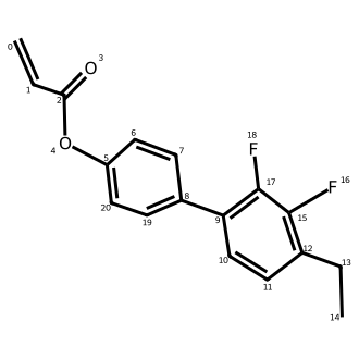 C=CC(=O)Oc1ccc(-c2ccc(CC)c(F)c2F)cc1